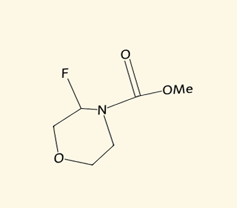 COC(=O)N1CCOCC1F